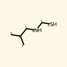 CC(C)CNCS